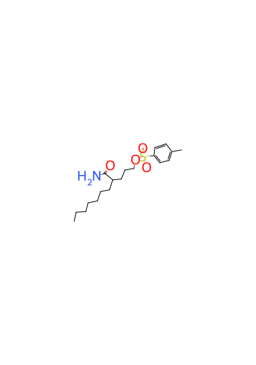 CCCCCCCC(CCCOS(=O)(=O)c1ccc(C)cc1)C(N)=O